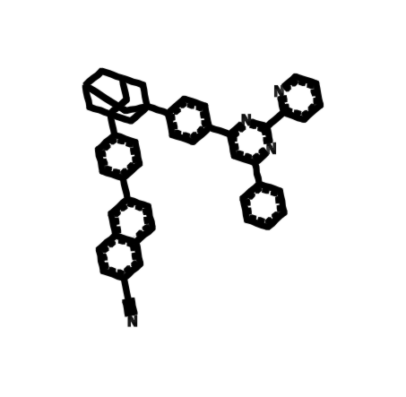 N#Cc1ccc2cc(-c3ccc(C45CC6CC(C4)CC(c4ccc(-c7cc(-c8ccccc8)nc(-c8ccccn8)n7)cc4)(C6)C5)cc3)ccc2c1